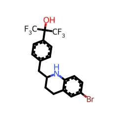 OC(c1ccc(CC2CCc3cc(Br)ccc3N2)cc1)(C(F)(F)F)C(F)(F)F